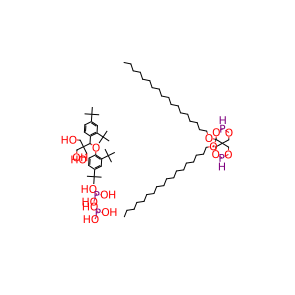 CC(C)(C)c1ccc(OC(c2ccc(C(C)(C)C)cc2C(C)(C)C)C(CO)(CO)CO)c(C(C)(C)C)c1.CCCCCCCCCCCCCCCCCCOC1(OCCCCCCCCCCCCCCCCCC)OPOCC12COPOC2.OP(O)O.OP(O)O